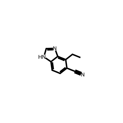 CCc1c(C#N)ccc2[nH]cnc12